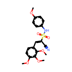 COc1ccc(NS(=O)(=O)C(C#N)=Cc2ccc(OC)c(OC)c2OC)cc1